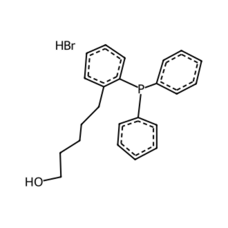 Br.OCCCCCc1ccccc1P(c1ccccc1)c1ccccc1